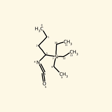 CCCC(N=C=O)[Si](CC)(CC)CC